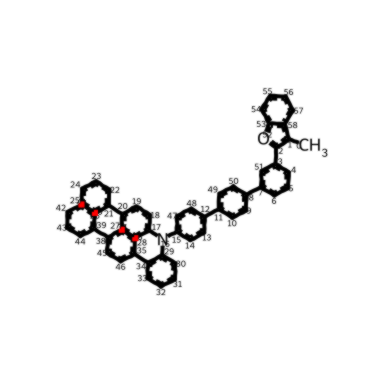 Cc1c(-c2cccc(-c3ccc(-c4ccc(N(c5ccc(-c6ccccc6)cc5)c5ccccc5-c5ccc(-c6ccccc6)cc5)cc4)cc3)c2)oc2ccccc12